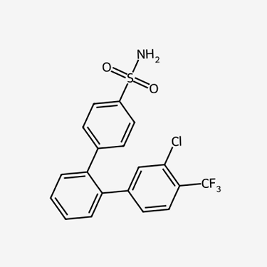 NS(=O)(=O)c1ccc(-c2ccccc2-c2ccc(C(F)(F)F)c(Cl)c2)cc1